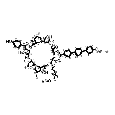 CC(=O)[O-].CCCCCOc1ccc(-c2ccc(-c3ccc(C(=O)N[C@H]4C[C@@H](O)[C@@H](OCC[N+](C)(C)C)NC(=O)[C@@H]5[C@@H](O)[C@@H](C)CN5C(=O)[C@H]([C@@H](C)O)NC(=O)[C@H]([C@H](O)[C@@H](O)c5ccc(O)cc5)NC(=O)[C@@H]5C[C@@H](O)CN5C(=O)[C@H]([C@@H](C)O)NC4=O)cc3)cc2)cc1